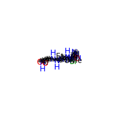 CCc1cc(Nc2ncc(Br)c(Nc3ccc4nccnc4c3P(C)(C)=O)n2)c(OC)cc1N1CCC(NCCNCCc2ccc(C3CCC(=O)NC3=O)cc2)CC1